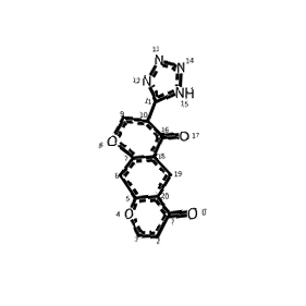 O=c1ccoc2cc3occ(-c4nnn[nH]4)c(=O)c3cc12